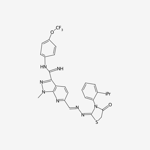 CC(C)c1ccccc1N1C(=O)CS/C1=N/N=C/c1ccc2c(C(=N)Nc3ccc(OC(F)(F)F)cc3)nn(C)c2n1